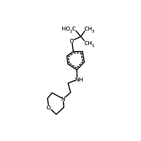 CC(C)(Oc1ccc(NCCN2CCOCC2)cc1)C(=O)O